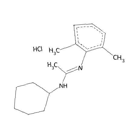 C/C(=N\c1c(C)cccc1C)NC1CCCCC1.Cl